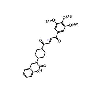 COc1cc(C(=O)/C=C/C(=O)N2CCC(N3Cc4ccccc4NC3=O)CC2)cc(OC)c1OC